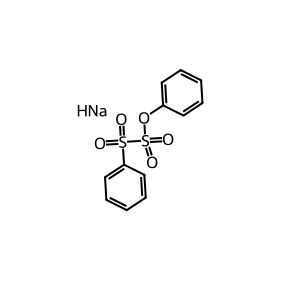 O=S(=O)(Oc1ccccc1)S(=O)(=O)c1ccccc1.[NaH]